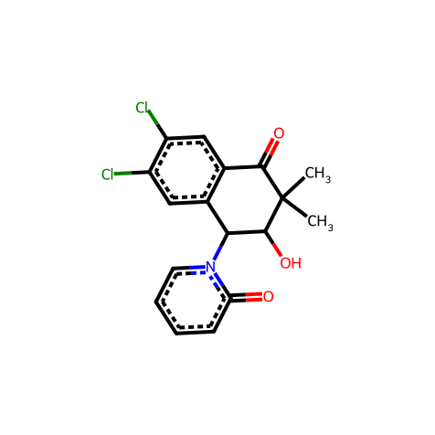 CC1(C)C(=O)c2cc(Cl)c(Cl)cc2C(n2ccccc2=O)C1O